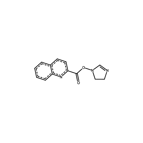 O=C(ON1C=NCC1)c1ccc2ccccc2n1